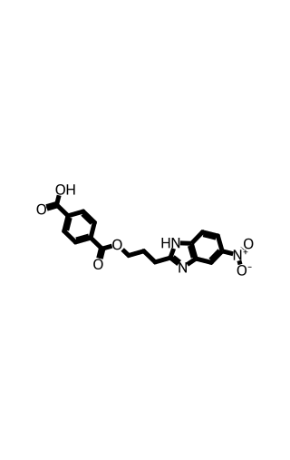 O=C(O)c1ccc(C(=O)OCCCc2nc3cc([N+](=O)[O-])ccc3[nH]2)cc1